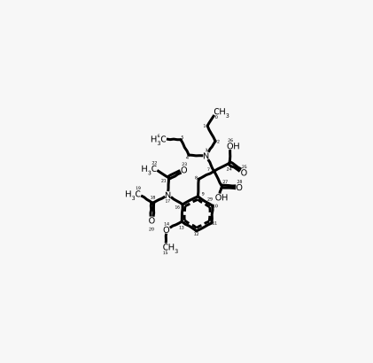 CCCN(CCC)C(Cc1cccc(OC)c1N(C(C)=O)C(C)=O)(C(=O)O)C(=O)O